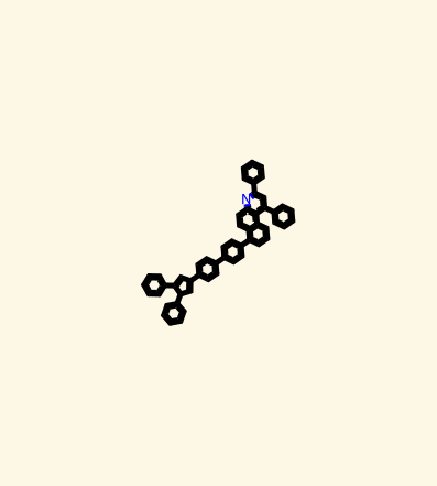 C1=C(c2ccc(-c3ccc(-c4cccc5c4ccc4nc(-c6ccccc6)cc(-c6ccccc6)c45)cc3)cc2)C=C(c2ccccc2)C1c1ccccc1